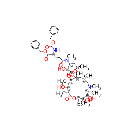 CC[C@H]1OC(=O)[C@H](C)[C@@H](O)[C@H](C)[C@@H](O[C@@H]2O[C@H](C)C[C@H](N(C)C(=O)CC[C@@H](NC(=O)OCc3ccccc3)C(=O)OCc3ccccc3)[C@H]2O)[C@](C)(O)C[C@@H](C)CN(C)[C@H](C)[C@@H](O)[C@]1(C)O